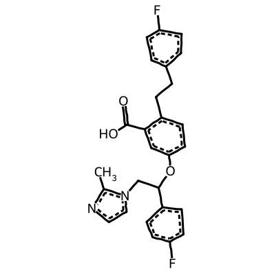 Cc1nccn1CC(Oc1ccc(CCc2ccc(F)cc2)c(C(=O)O)c1)c1ccc(F)cc1